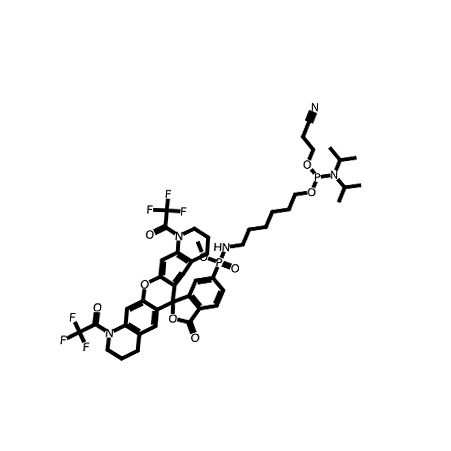 COP(=O)(NCCCCCCOP(OCCC#N)N(C(C)C)C(C)C)c1ccc2c(c1)C1(OC2=O)c2cc3c(cc2Oc2cc4c(cc21)CCCN4C(=O)C(F)(F)F)N(C(=O)C(F)(F)F)CCC3